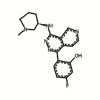 CN1CCC[C@@H](Nc2nnc(-c3ccc(F)cc3O)c3ccncc23)C1